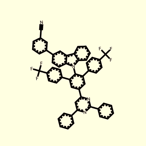 N#Cc1cccc(-c2ccc3c(c2)c2ccccc2n3-c2c(-c3ccc(C(F)(F)F)cc3)cc(-c3cc(-c4ccccc4)nc(-c4ccccc4)n3)cc2-c2ccc(C(F)(F)F)cc2)c1